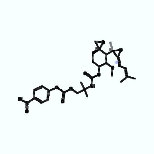 COC1C(OC(=O)NC(C)(C)COC(=O)Oc2ccc([N+](=O)[O-])cc2)CC[C@]2(CO2)C1[C@@]1(C)O/C1=C\C=C(C)C